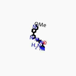 COc1ccc2cc(-c3cncc(N4CC5(CN(C(=O)c6cn(C)nc6N)C5)C4)c3)ccc2n1